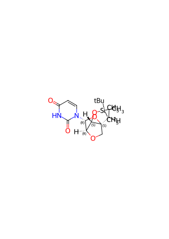 [2H]C(C)[C@@]12CO[C@@H]([C@H](n3ccc(=O)[nH]c3=O)O1)[C@@H]2O[Si](C)(C)C(C)(C)C